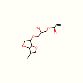 C=CC(=O)OCC(O)COC1COC2C(C)COC12